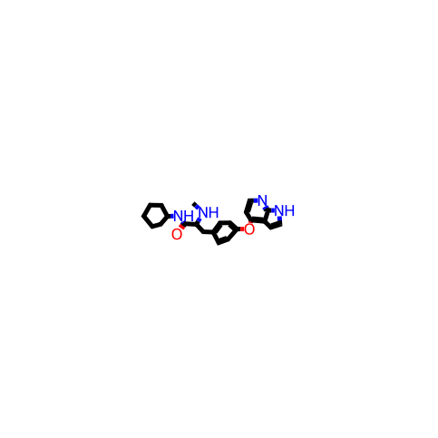 CNC(Cc1ccc(Oc2ccnc3[nH]ccc23)cc1)C(=O)NC1CCCCC1